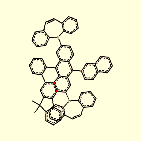 CC1(C)c2ccccc2-c2ccc(-c3ccccc3-c3c4ccc(N5c6ccccc6C=Cc6ccccc65)cc4c(-c4ccc5ccccc5c4)c4ccc(N5c6ccccc6C=Cc6ccccc65)cc34)cc21